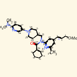 COC/C=C/c1cc(C)nc(N(CC2CCN(c3ccc(N(C)C)nc3)CC2)C(=O)C2CCCCC2)c1